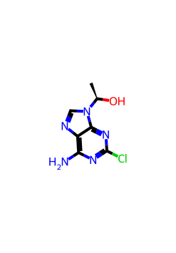 C[C@@H](O)n1cnc2c(N)nc(Cl)nc21